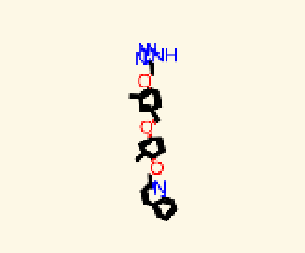 Cc1cc(OCc2ccc(OCc3nnn[nH]3)c(C)c2)ccc1OCc1ccc2ccccc2n1